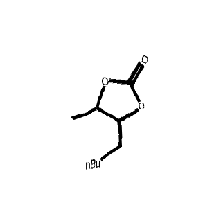 CCCCCC1OC(=O)OC1C